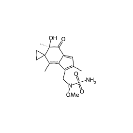 CON(CC1=C(C)C=C2C(=O)[C@](C)(O)C3(CC3)C(C)=C21)S(N)(=O)=O